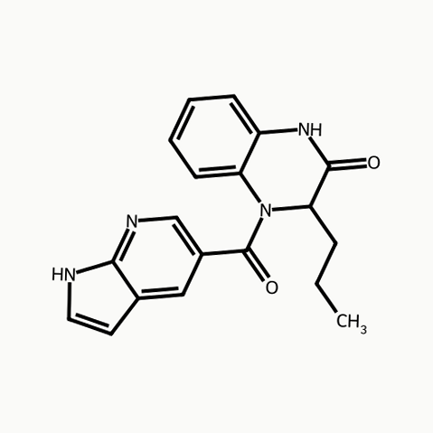 CCCC1C(=O)Nc2ccccc2N1C(=O)c1cnc2[nH]ccc2c1